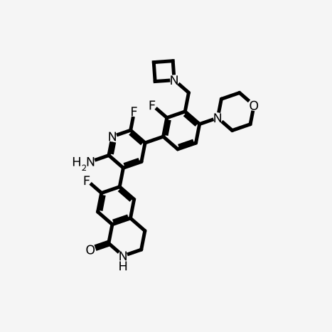 Nc1nc(F)c(-c2ccc(N3CCOCC3)c(CN3CCC3)c2F)cc1-c1cc2c(cc1F)C(=O)NCC2